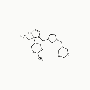 CCC1(C2COC(C)OC2)NC=CN1CC1CCN(CC2COCOC2)C1